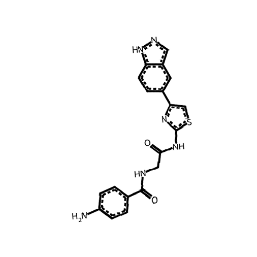 Nc1ccc(C(=O)NCC(=O)Nc2nc(-c3ccc4[nH]ncc4c3)cs2)cc1